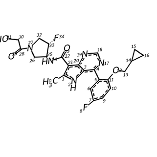 Cc1[nH]c2c(-c3cc(F)ccc3OCC3CC3)ncnc2c1C(=O)N[C@H]1CN(C(=O)CO)C[C@@H]1F